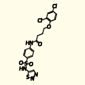 O=C(CCCOc1ccc(Cl)cc1Cl)Nc1ccc(S(=O)(=O)Nc2cnns2)cc1